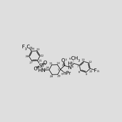 CCCC1(C(=O)N[C@H](C)c2ccc(F)cc2)CCC(NS(=O)(=O)c2ccc(C(F)(F)F)cc2)CC1